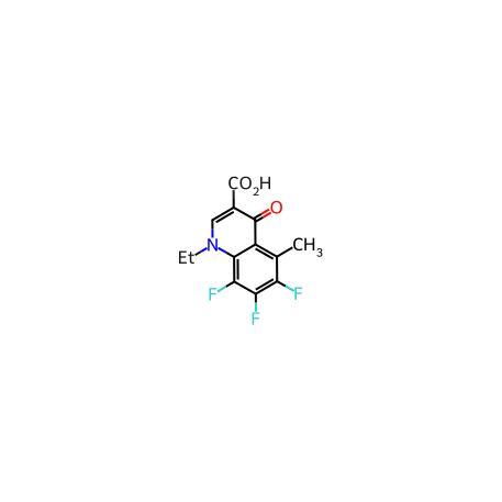 CCn1cc(C(=O)O)c(=O)c2c(C)c(F)c(F)c(F)c21